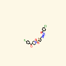 O=C(N=[N+]=NCc1ccc(S(=O)(=O)N2CCC(C(=O)c3ccc(F)cc3)CC2)s1)c1ccc(Cl)cc1